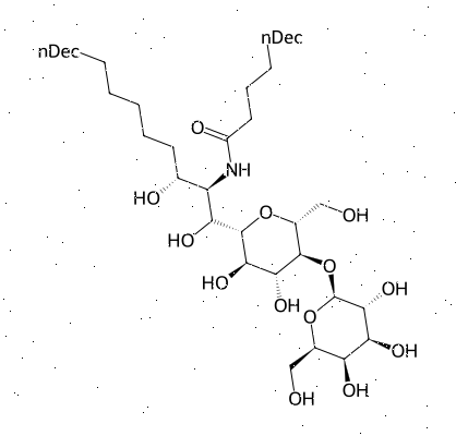 CCCCCCCCCCCCCCC[C@@H](O)[C@@H](NC(=O)CCCCCCCCCCCCC)C(O)[C@@H]1O[C@H](CO)[C@@H](O[C@@H]2O[C@H](CO)[C@H](O)[C@H](O)[C@H]2O)[C@H](O)[C@H]1O